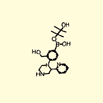 CC(C)(O)C(C)(C)OB(O)c1ccc(N2CCNCC2c2ccccn2)c(CO)c1